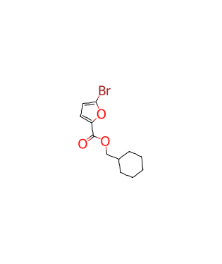 O=C(OCC1CCCCC1)c1ccc(Br)o1